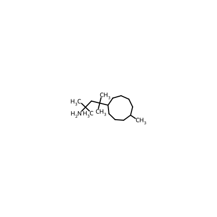 CC1CCCCC(C(C)(C)CC(C)(C)N)CCC1